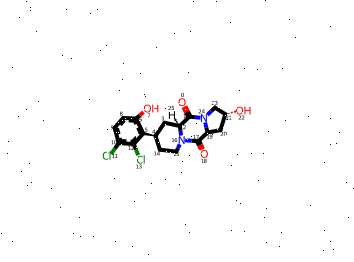 O=C1[C@@H]2C[C@H](c3c(O)ccc(Cl)c3Cl)CCN2C(=O)C2C[C@@H](O)CN12